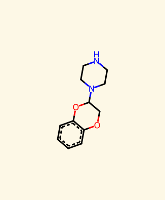 c1ccc2c(c1)OCC(N1CCNCC1)O2